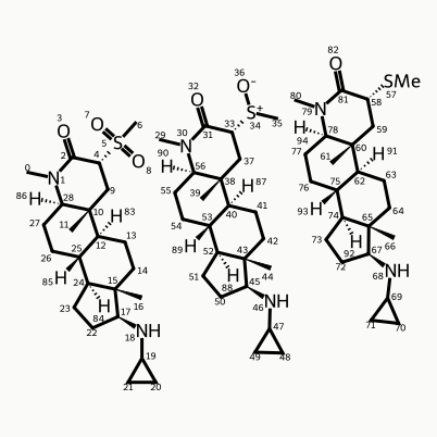 CN1C(=O)[C@H](S(C)(=O)=O)C[C@]2(C)[C@H]3CC[C@]4(C)[C@@H](NC5CC5)CC[C@H]4[C@@H]3CC[C@@H]12.CN1C(=O)[C@H]([S+](C)[O-])C[C@]2(C)[C@H]3CC[C@]4(C)[C@@H](NC5CC5)CC[C@H]4[C@@H]3CC[C@@H]12.CS[C@@H]1C[C@]2(C)[C@H]3CC[C@]4(C)[C@@H](NC5CC5)CC[C@H]4[C@@H]3CC[C@H]2N(C)C1=O